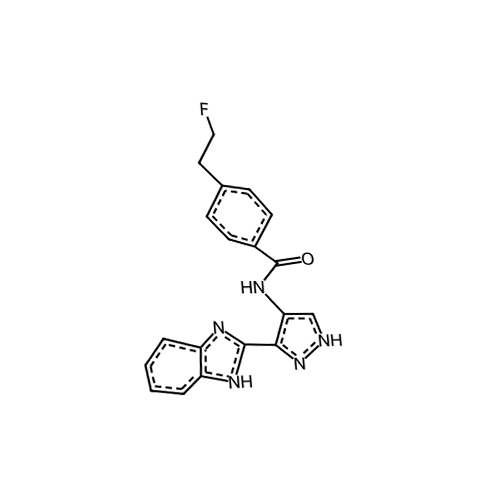 O=C(Nc1c[nH]nc1-c1nc2ccccc2[nH]1)c1ccc(CCF)cc1